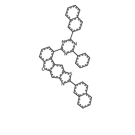 c1ccc(-c2nc(-c3ccc4ccccc4c3)nc(-c3cccc4oc5cc6nc(-c7ccc8ccccc8c7)sc6cc5c34)n2)cc1